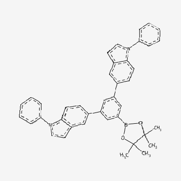 CC1(C)OB(c2cc(-c3ccc4c(ccn4-c4ccccc4)c3)cc(-c3ccc4c(ccn4-c4ccccc4)c3)c2)OC1(C)C